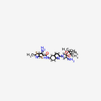 Cc1nc2sc(C(=O)NC3CCc4nc(N5CC(N)C6(C5)OC(C)(C)C(C)(C)O6)ccc4C3)c(N)c2s1